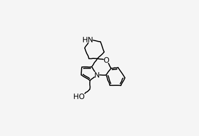 OCc1ccc2n1-c1ccccc1OC21CCNCC1